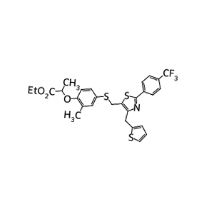 CCOC(=O)C(C)Oc1ccc(SCc2sc(-c3ccc(C(F)(F)F)cc3)nc2Cc2cccs2)cc1C